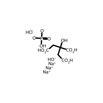 Cl.O=C(O)CC(O)(CC(=O)O)C(=O)O.O=P([O-])([O-])O.[Na+].[Na+].[Na+].[OH-]